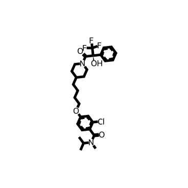 CC(C)N(C)C(=O)c1ccc(OCCCCC2CCN(C(=O)[C@](O)(c3ccccc3)C(F)(F)F)CC2)cc1Cl